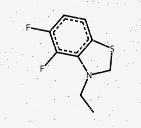 CCN1CSc2ccc(F)c(F)c21